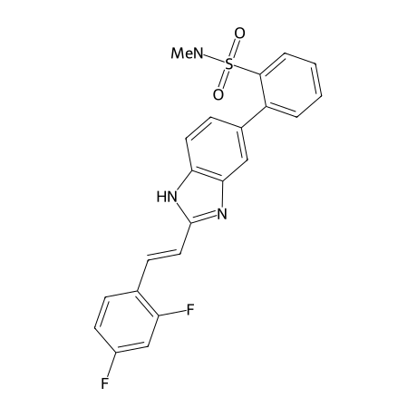 CNS(=O)(=O)c1ccccc1-c1ccc2[nH]c(/C=C/c3ccc(F)cc3F)nc2c1